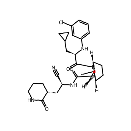 N#C[C@H](C[C@H]1CCCNC1=O)NC(=O)[C@H]1[C@H]2CC[C@H](CC2(F)F)N1C(=O)[C@@H](CC1CC1)Nc1cccc(Cl)c1